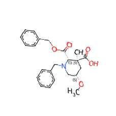 CO[C@@H]1CN(Cc2ccccc2)[C@H](C(=O)OCc2ccccc2)[C@@](C)(C(=O)O)C1